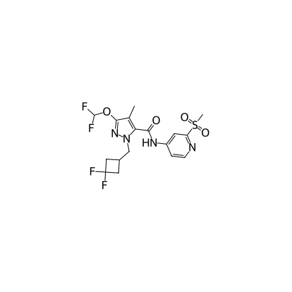 Cc1c(OC(F)F)nn(CC2CC(F)(F)C2)c1C(=O)Nc1ccnc(S(C)(=O)=O)c1